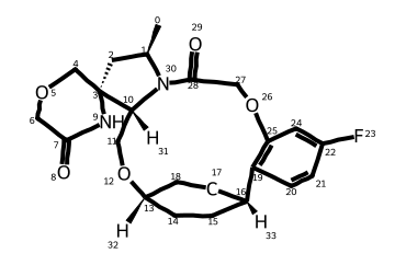 C[C@@H]1C[C@]2(COCC(=O)N2)[C@H]2CO[C@H]3CC[C@H](CC3)c3ccc(F)cc3OCC(=O)N12